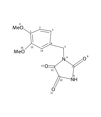 COc1ccc(CN2C(=O)NC(=O)C2=O)cc1OC